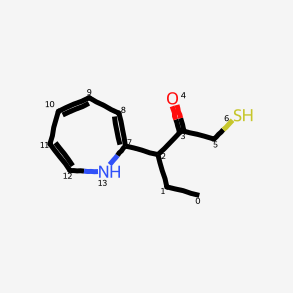 CCC(C(=O)CS)C1=CC=CC=CN1